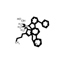 CCCCC1=Cc2c(-c3ccccc3)cccc2[CH]1[Zr]([CH3])([CH3])(=[SiH2])[CH]1C(CCCC)=Cc2c(-c3ccccc3)cccc21.Cl.Cl